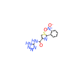 O=C(Nc1nnn[nH]1)c1csc(-c2ccccc2[N+](=O)[O-])n1